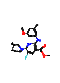 COC(=O)c1cc(F)c(N2CC[C@@H](C)C2)nc1Nc1cc(C)cc(OC)c1